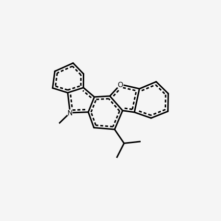 CC(C)c1cc2c(c3ccccc3n2C)c2oc3ccccc3c12